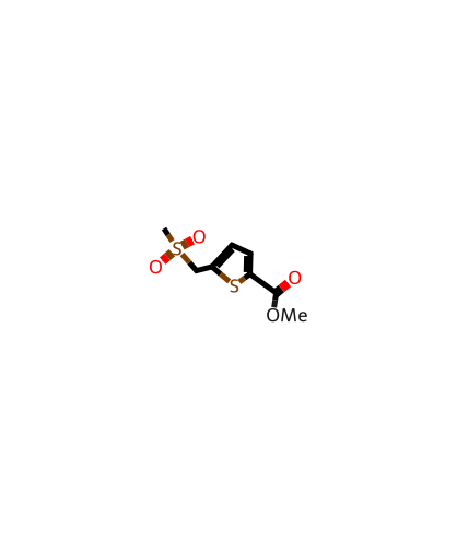 COC(=O)c1ccc(CS(C)(=O)=O)s1